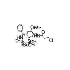 CCCC[C@]1(CC)CS(O)(O)c2cc(CNC(=O)CCCl)c(OC)cc2[C@@H](c2ccccc2)N1